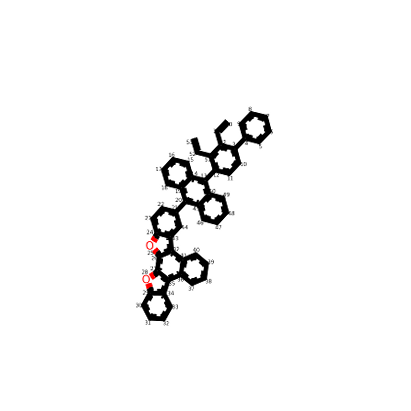 C=Cc1c(-c2ccccc2)ccc(-c2c3ccccc3c(-c3ccc4oc5c6oc7ccccc7c6c6ccccc6c5c4c3)c3ccccc23)c1C=C